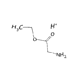 CCOC(=O)CN.[H+]